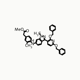 COC(=O)Cc1ccc(Nc2ccc3c(-c4ccc(OCc5ccccc5)nc4OCc4ccccc4)nn(C)c3c2)c(C)c1